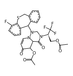 CC(=O)OC[C@@H](N1CN(C2c3ccccc3CSc3c(F)cccc32)N2C=CC(=O)C(OC(C)=O)C2C1=O)C(F)(F)F